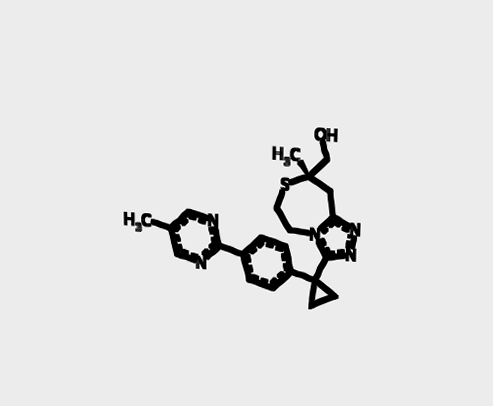 Cc1cnc(-c2ccc(C3(c4nnc5n4CCS[C@](C)(CO)C5)CC3)cc2)nc1